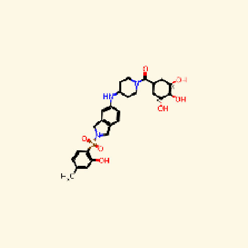 Cc1ccc(S(=O)(=O)N2Cc3ccc(NC4CCN(C(=O)C5C[C@@H](O)C(O)[C@H](O)C5)CC4)cc3C2)c(O)c1